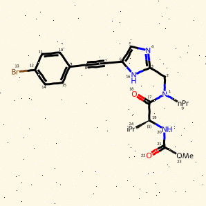 CCCN(Cc1ncc(C#Cc2ccc(Br)cc2)[nH]1)C(=O)[C@@H](NC(=O)OC)C(C)C